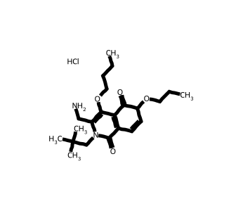 CCCCOc1c2c(c(=O)n(CC(C)(C)C)c1CN)C=CC(OCCC)C2=O.Cl